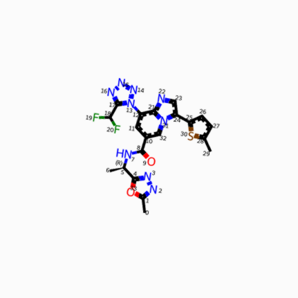 Cc1nnc([C@@H](C)NC(=O)c2cc(-n3nnnc3C(F)F)c3ncc(-c4ccc(C)s4)n3c2)o1